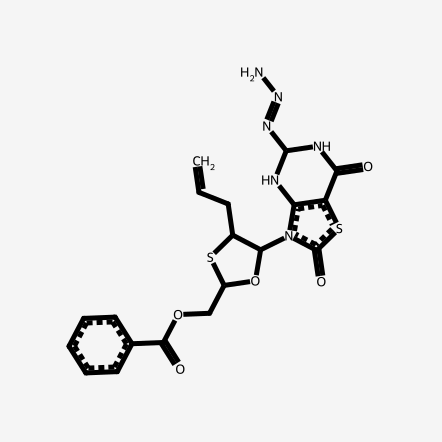 C=CCC1SC(COC(=O)c2ccccc2)OC1n1c2c(sc1=O)C(=O)NC(N=NN)N2